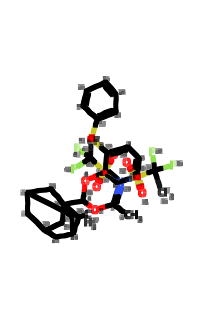 CC(OC(Oc1ccccc1Sc1ccccc1)C12CC3CC(CC(C3)C1C)C2)=[N+](S(=O)(=O)C(F)(F)C(F)(F)F)S(=O)(=O)C(F)(F)C(F)(F)F